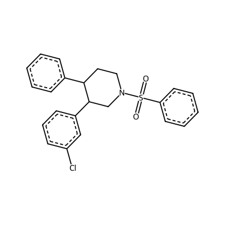 O=S(=O)(c1ccccc1)N1CCC(c2ccccc2)C(c2cccc(Cl)c2)C1